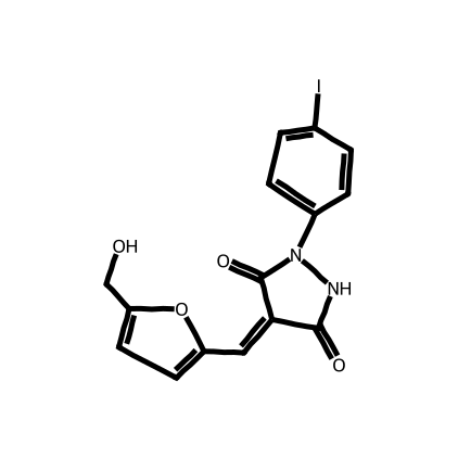 O=C1NN(c2ccc(I)cc2)C(=O)C1=Cc1ccc(CO)o1